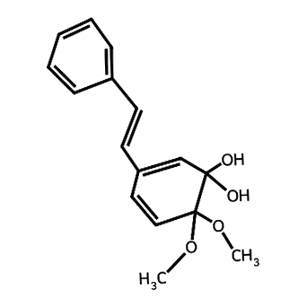 COC1(OC)C=CC(C=Cc2ccccc2)=CC1(O)O